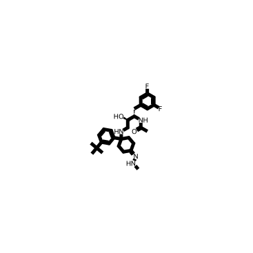 CNN=C1CCC(NC[C@@H](O)[C@H](Cc2cc(F)cc(F)c2)NC(C)=O)(c2cccc(C(C)(C)C)c2)CC1